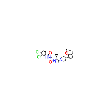 COc1ccccc1C1CCN([C@@H]2CCN(C(=O)CNC(=O)c3ccc(Cl)c(Cl)c3)[C@@H]2C2CC2)CC1